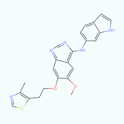 COc1cc2c(Nc3ccc4cc[nH]c4c3)ncnc2cc1OCCc1scnc1C